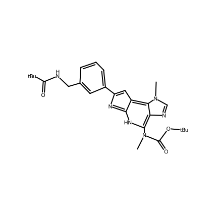 CN(C(=O)OC(C)(C)C)c1[nH]c2nc(-c3cccc(CNC(=O)C(C)(C)C)c3)cc-2c2c1ncn2C